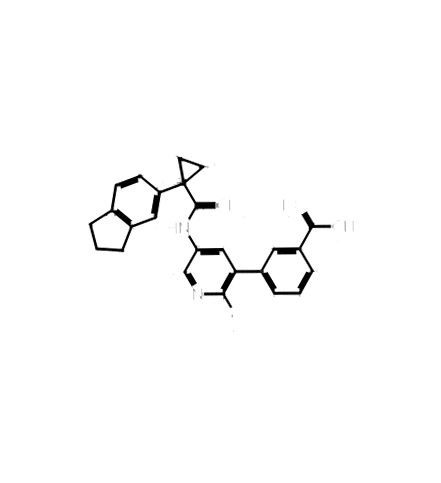 C=C(C)c1cccc(-c2cc(NC(=C)C3(c4ccc5c(c4)CCC5)CC3)cnc2C)c1